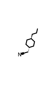 CCC[C@H]1CC[C@H](CC#N)CC1